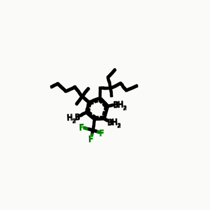 Bc1c(B)c(C(F)(F)F)c(B)c(C(C)(C)CCCC)c1CC(C)(CC)CCC